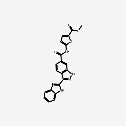 COC(=O)c1ccc(NC(=O)c2ccc3c(-c4nc5ccccc5[nH]4)n[nH]c3c2)o1